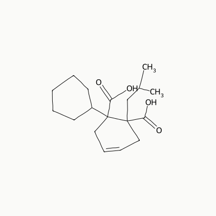 CC(C)CC1(C(=O)O)CC=CCC1(C(=O)O)C1CCCCC1